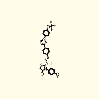 COc1ccc(N2C(=O)CSC2N/N=C/c2ccc(-c3ncn(-c4ccc(OC(F)(F)F)cc4)n3)cc2)cc1